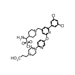 CS(=O)(=O)C(N)C1CCN(Cc2cc(Oc3ccc(N4CCN(CCC(=O)O)CC4)nc3)nc(-c3cc(Cl)cc(Cl)c3)c2)CC1